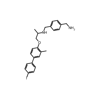 Cc1cc(-c2ccc(I)cc2)ccc1OCC(C)NCc1ccc(CN)cc1